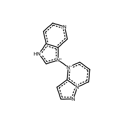 c1cn2nccc2[n+](-[n+]2c[nH]c3ccncc32)c1